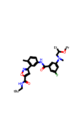 CCC(CN(C)c1cc(F)cc(C(=O)Nc2ccc(C)c(-c3cc(C(=O)NCC(C)(C)C)on3)c2)c1)OC(C)C